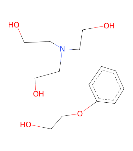 OCCN(CCO)CCO.OCCOc1ccccc1